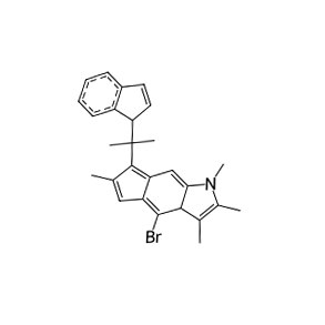 CC1=CC2=C(Br)C3C(=CC2=C1C(C)(C)C1C=Cc2ccccc21)N(C)C(C)=C3C